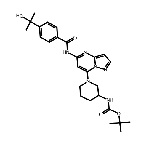 CC(C)(C)OC(=O)NC1CCCN(c2cc(NC(=O)c3ccc(C(C)(C)O)cc3)nc3ccnn23)C1